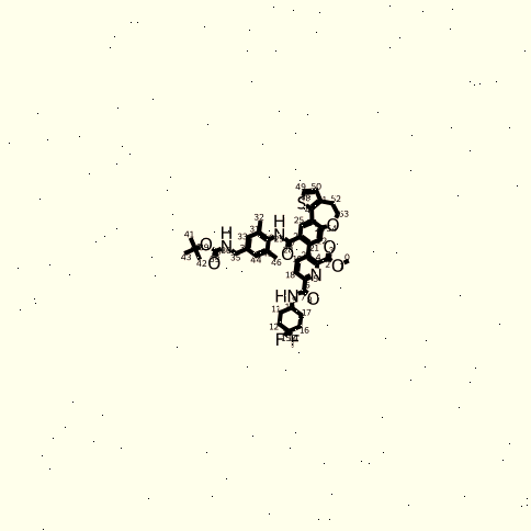 COC(=O)c1nc(C(=O)NC2CCC(F)(F)CC2)ccc1-c1cc2c(cc1C(=O)Nc1c(C)cc(CNC(=O)OC(C)(C)C)cc1C)-c1sccc1CCO2